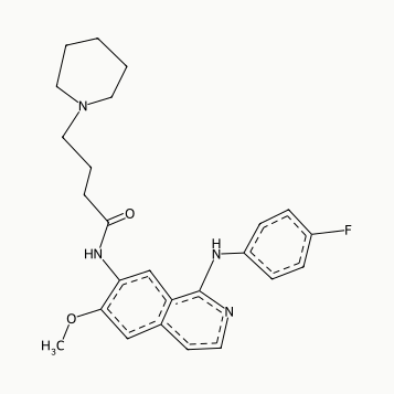 COc1cc2ccnc(Nc3ccc(F)cc3)c2cc1NC(=O)CCCN1CCCCC1